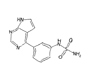 NS(=O)(=O)Nc1cccc(-c2ncnc3[nH]ccc23)c1